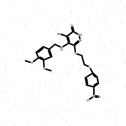 COc1ccc(CNc2c(OCCSc3ccc([N+](=O)[O-])cc3)n[nH]c(=O)c2Br)cc1OC